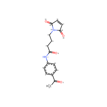 CC(=O)c1ccc(NC(=O)CCCN2C(=O)C=CC2=O)cc1